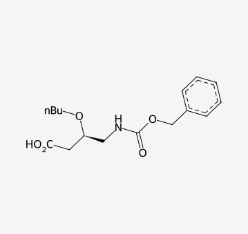 CCCCO[C@@H](CNC(=O)OCc1ccccc1)CC(=O)O